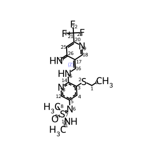 CCSc1cc(N=S(C)(=O)NC)cnc1N/C=C1/C=NC(C(F)(F)F)=CC1=N